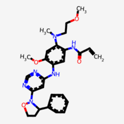 C=CC(=O)Nc1cc(Nc2cc(N3OCCC3c3ccccc3)ncn2)c(OC)cc1N(C)CCOC